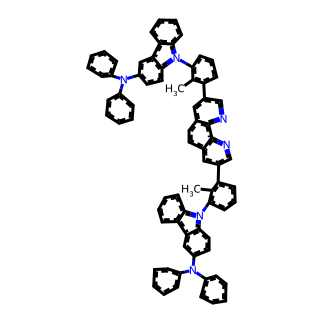 Cc1c(-c2cnc3c(ccc4cc(-c5cccc(-n6c7ccccc7c7cc(N(c8ccccc8)c8ccccc8)ccc76)c5C)cnc43)c2)cccc1-n1c2ccccc2c2cc(N(c3ccccc3)c3ccccc3)ccc21